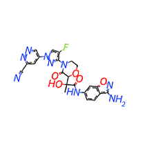 CC(O)(C(=O)Nc1ccc2c(N)noc2c1)C1OCCN(c2nn(-c3cnnc(C#N)c3)cc2F)C1=O